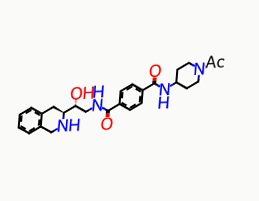 CC(=O)N1CCC(NC(=O)c2ccc(C(=O)NC[C@@H](O)[C@@H]3Cc4ccccc4CN3)cc2)CC1